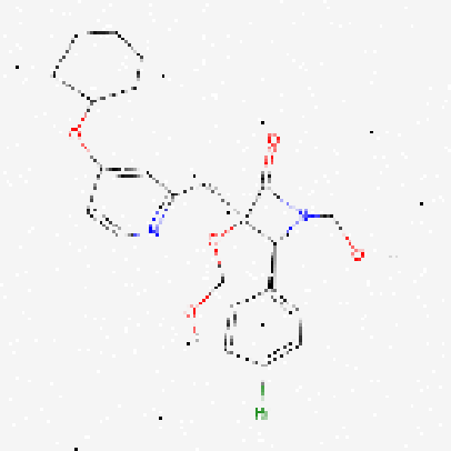 COCO[C@@]1(Cc2cc(OC3CCCCC3)ccn2)C(=O)N(COC)[C@H]1c1ccc(Br)cc1